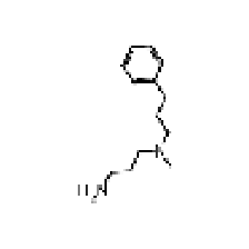 CN(CCCN)CCCc1ccccc1